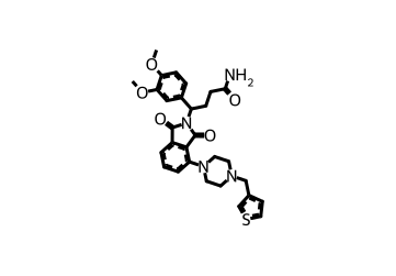 COc1ccc(C(CCC(N)=O)N2C(=O)c3cccc(N4CCN(Cc5ccsc5)CC4)c3C2=O)cc1OC